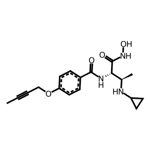 CC#CCOc1ccc(C(=O)N[C@H](C(=O)NO)[C@@H](C)NC2CC2)cc1